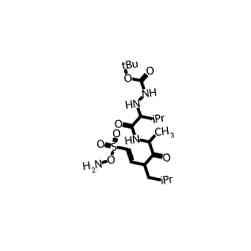 CC(C)CC(C=CS(=O)(=O)ON)C(=O)C(C)NC(=O)C(NNC(=O)OC(C)(C)C)C(C)C